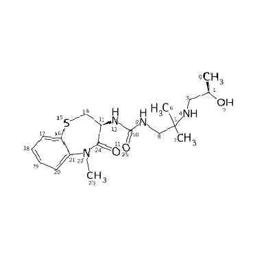 C[C@@H](O)CNC(C)(C)CNC(=O)N[C@@H]1CSc2ccccc2N(C)C1=O